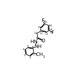 Cc1ccccc1NNC(=O)Cc1cc(F)cc(F)c1